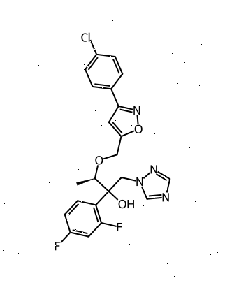 C[C@@H](OCc1cc(-c2ccc(Cl)cc2)no1)C(O)(Cn1cncn1)c1ccc(F)cc1F